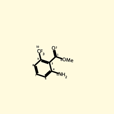 COC(=O)c1c(N)cccc1C(F)(F)F